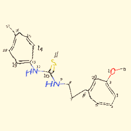 COc1cccc(CCNC(=S)Nc2ccc(C)cc2)c1